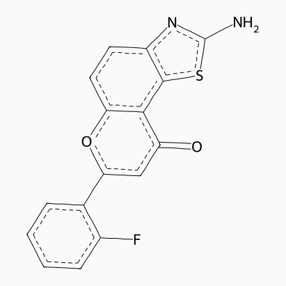 Nc1nc2ccc3oc(-c4ccccc4F)cc(=O)c3c2s1